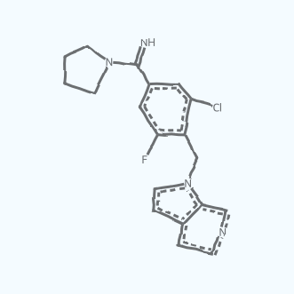 N=C(c1cc(F)c(Cn2ccc3ccncc32)c(Cl)c1)N1CCCC1